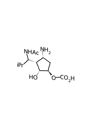 CC(=O)NC(C(C)C)[C@H]1[C@@H](O)[C@H](OC(=O)O)C[C@H]1N